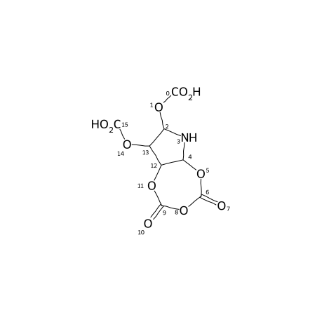 O=C(O)OC1NC2OC(=O)OC(=O)OC2C1OC(=O)O